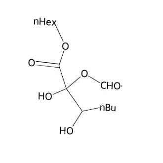 CCCCCCOC(=O)C(O)(O[C]=O)C(O)CCCC